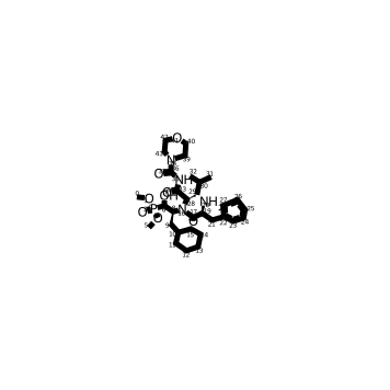 COP(=O)(OC)C(O)[C@H](CC1CCCCC1)N(C(=O)[C@@H](N)Cc1ccccc1)[C@@H](CC(C)C)C(=O)NC(=O)N1CCOCC1